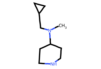 CN(CC1CC1)C1CCNCC1